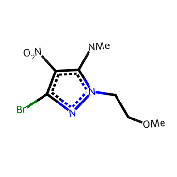 CNc1c([N+](=O)[O-])c(Br)nn1CCOC